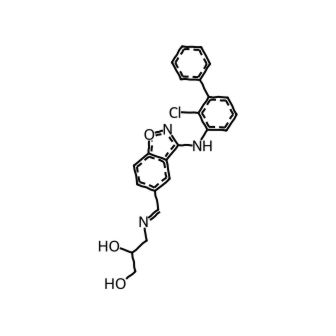 OCC(O)CN=Cc1ccc2onc(Nc3cccc(-c4ccccc4)c3Cl)c2c1